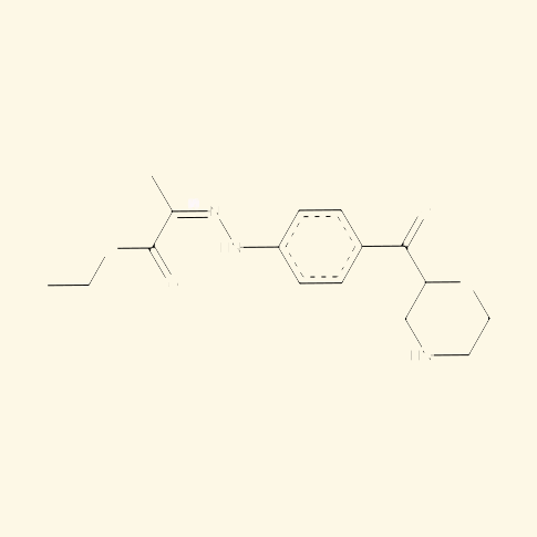 CCOC(=O)/C(C)=N\Nc1ccc(C(=O)C2CNCCO2)cc1